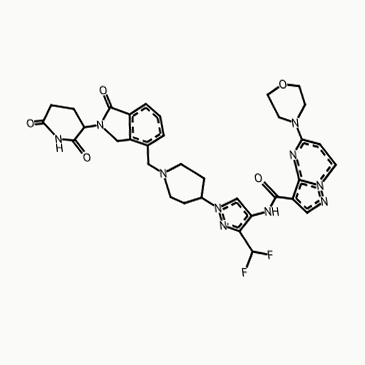 O=C1CCC(N2Cc3c(CN4CCC(n5cc(NC(=O)c6cnn7ccc(N8CCOCC8)nc67)c(C(F)F)n5)CC4)cccc3C2=O)C(=O)N1